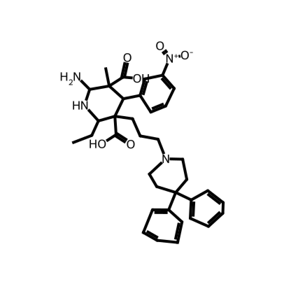 CCC1NC(N)C(C)(C(=O)O)C(c2cccc([N+](=O)[O-])c2)C1(CCCN1CCC(c2ccccc2)(c2ccccc2)CC1)C(=O)O